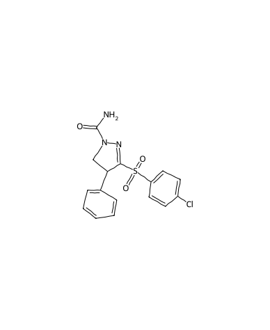 NC(=O)N1CC(c2ccccc2)C(S(=O)(=O)c2ccc(Cl)cc2)=N1